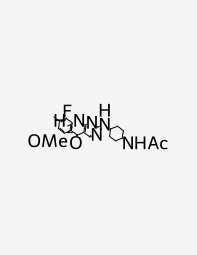 COc1cc(C)c(F)cc1C(=O)c1cnc(NC2CCC(NC(C)=O)CC2)nc1N